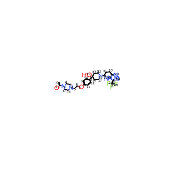 CC(=O)N1CCN(CCOc2ccc(C3(O)CCN(C4=Nn5c(nnc5C(F)(F)F)CC4)CC3)cc2)CC1